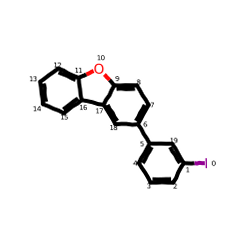 Ic1cccc(-c2ccc3oc4ccccc4c3c2)c1